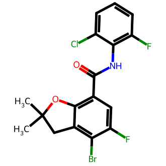 CC1(C)Cc2c(Br)c(F)cc(C(=O)Nc3c(F)cccc3Cl)c2O1